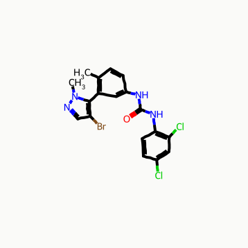 Cc1ccc(NC(=O)Nc2ccc(Cl)cc2Cl)cc1-c1c(Br)cnn1C